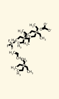 C=CC.CC[N+](CC)(CC)CC.CC[N+](CC)(CC)CC.CC[N+](CC)(CC)CC.F[B-](F)(F)F.O=C([O-])[O-]